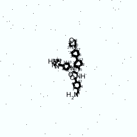 NCC1CCC(C(=O)N[C@@H](Cc2ccc(-c3ccc(N4CCOCC4)cc3)cc2)C(=O)Nc2ccc(-c3nn[nH]n3)cc2)CC1